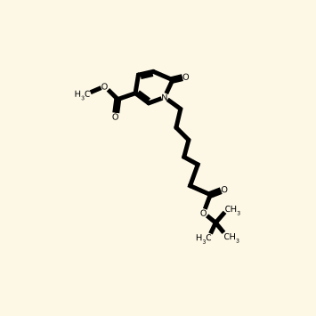 COC(=O)c1ccc(=O)n(CCCCCCC(=O)OC(C)(C)C)c1